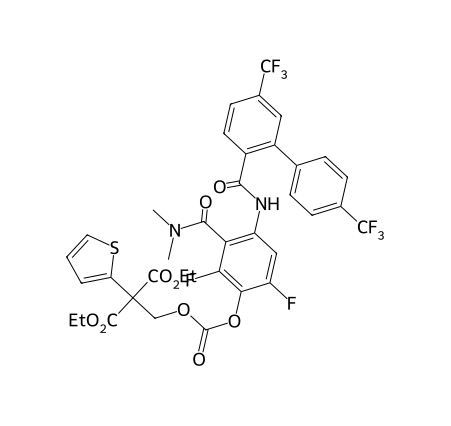 CCOC(=O)C(COC(=O)Oc1c(F)cc(NC(=O)c2ccc(C(F)(F)F)cc2-c2ccc(C(F)(F)F)cc2)c(C(=O)N(C)C)c1F)(C(=O)OCC)c1cccs1